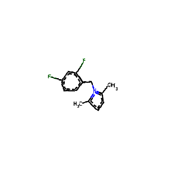 Cc1ccc(C)n1Cc1ccc(F)cc1F